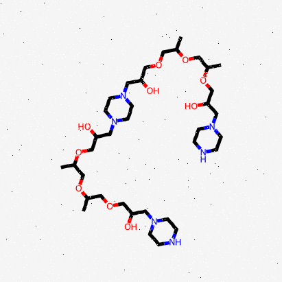 CC(COCC(O)CN1CCN(CC(O)COC(C)COC(C)COCC(O)CN2CCNCC2)CC1)OCC(C)OCC(O)CN1CCNCC1